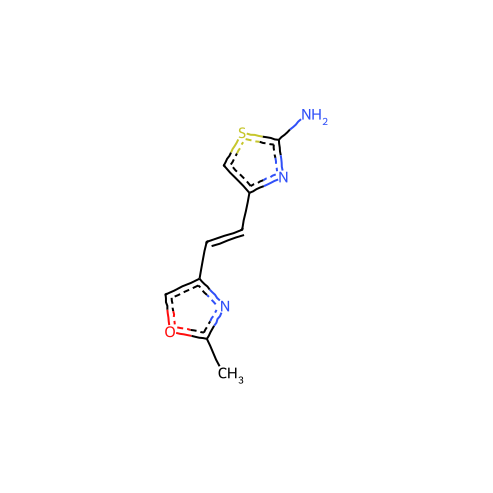 Cc1nc(C=Cc2csc(N)n2)co1